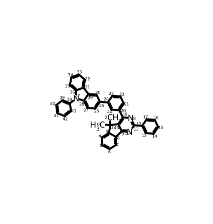 CC1(C)c2ccccc2-c2nc(-c3ccccc3)nc(-c3cccc(-c4ccc5c(c4)c4ccccc4n5-c4ccccc4)c3)c21